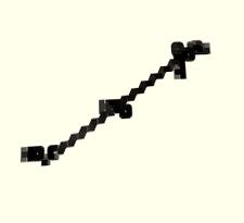 CC(C)(C)OC(=O)NCCCCCCCCCCCC(=O)NCCCCCCCCCCCC(=O)O